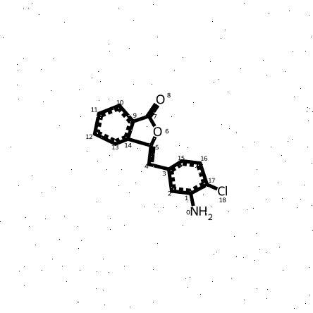 Nc1cc(C=C2OC(=O)c3ccccc32)ccc1Cl